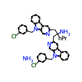 CCCC(N)(Cc1cc2c3ccccc3n(Cc3cccc(Cl)c3)c2cn1)Cc1cc2c3ccccc3n(Cc3cccc(Cl)c3)c2cn1.N